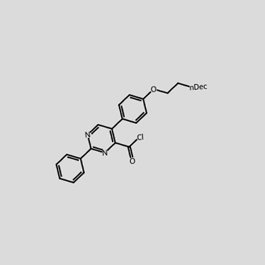 CCCCCCCCCCCCOc1ccc(-c2cnc(-c3ccccc3)nc2C(=O)Cl)cc1